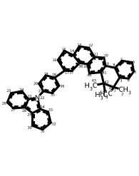 CC1(C)c2ccccc2-c2cc3ccc4ccc(-c5ccc(-n6c7ccccc7c7ccccc76)cc5)cc4c3cc2C1(C)C